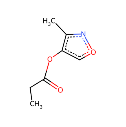 CCC(=O)Oc1conc1C